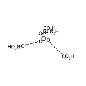 O=C(O)CCCCCCCCCCOc1cc(OCCCCCCCCCCC(=O)O)cc(C(=O)N(CC(=O)O)CC(=O)O)c1